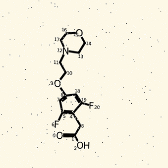 O=C(O)Cc1c(F)cc(OCCN2CCOCC2)cc1F